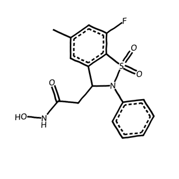 Cc1cc(F)c2c(c1)C(CC(=O)NO)N(c1ccccc1)S2(=O)=O